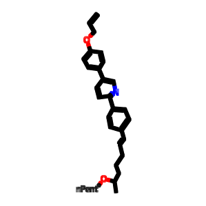 C=CCOc1ccc(-c2ccc(-c3ccc(/C=C/CCCC(C)OCCCCC)cc3)nc2)cc1